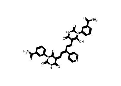 NC(=O)c1cccc(N2C(=O)NC(=O)C(=CC=C(C=Cc3c(O)n(-c4cccc(C(N)=O)c4)c(=O)[nH]c3=O)c3ccncc3)C2=O)c1